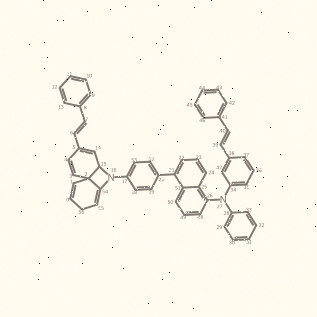 C1=CC23C=CC(C=Cc4ccccc4)=CC2N(c2ccc(-c4cccc5c(N(c6ccccc6)c6cccc(C=Cc7ccccc7)c6)cccc45)cc2)C3=CC1